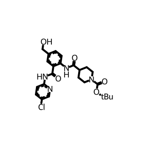 CC(C)(C)OC(=O)N1CCC(C(=O)Nc2ccc(CO)cc2C(=O)Nc2ccc(Cl)cn2)CC1